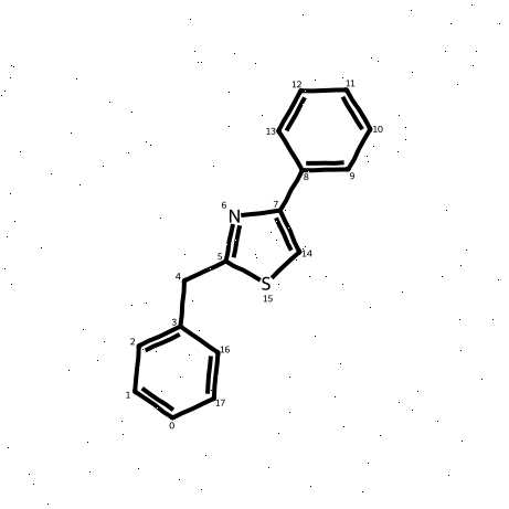 c1ccc(Cc2nc(-c3ccccc3)cs2)cc1